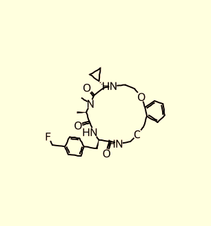 C[C@@H]1C(=O)N[C@H](Cc2ccc(CF)cc2)C(=O)NCCCc2ccccc2OCCN[C@@H](C2CC2)C(=O)N1C